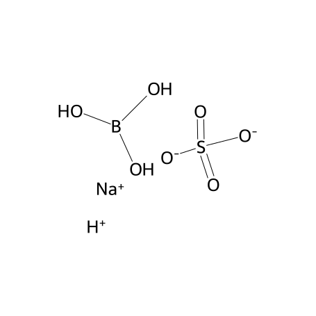 O=S(=O)([O-])[O-].OB(O)O.[H+].[Na+]